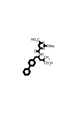 COc1nc(C(=O)O)cc(C(=O)NC(Cc2ccc(-c3ccccc3)cc2)CC(C)C(=O)O)n1